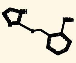 CNc1ccccc1CSc1ncc[nH]1